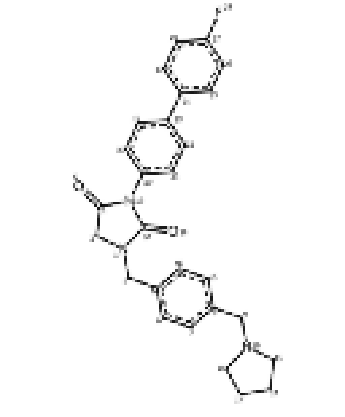 O=C1CN(Cc2ccc(CN3CCCC3)cc2)C(=O)N1c1ccc(-c2ccc(F)cc2)cc1